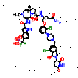 CN1CC[C@H]2CC[C@@H](C(=O)N[C@@H](CCC(N)=O)COc3cccc(N4CCN(Cc5cc(Br)c6c(c5)CN(C5CCC(=O)NC5=O)C6=O)CC4)c3Cl)N2C(=O)[C@@H](NC(=O)c2cc3cc(C(F)(F)P(=O)(O)O)ccc3[nH]2)C1